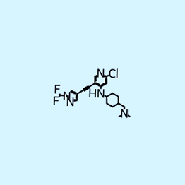 CN(C)CC1CCC(Nc2cc(Cl)ncc2C#Cc2cnn(C(F)F)c2)CC1